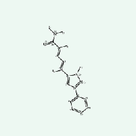 C/C(=C\C=C(/C)c1cc(-c2ccccc2)nn1C)C(=O)N(C)C